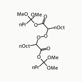 CCCCCCCCC(OOC(CCCCCCCC)C(=O)OC(CCC)(OC)OC)C(=O)OC(CCC)(OC)OC